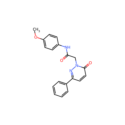 COc1ccc(NC(=O)Cn2nc(-c3ccccc3)ccc2=O)cc1